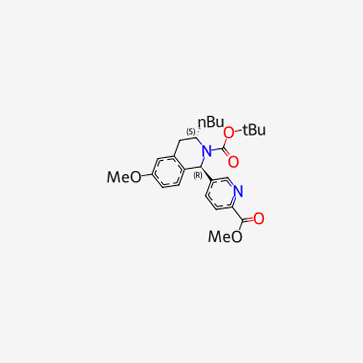 CCCC[C@H]1Cc2cc(OC)ccc2[C@H](c2ccc(C(=O)OC)nc2)N1C(=O)OC(C)(C)C